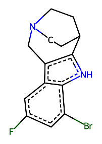 Fc1cc(Br)c2[nH]c3c(c2c1)CN1CCC3CC1